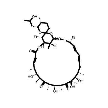 CC[C@@H]1/C=C/C=C/C[C@H](C)[C@@H](O)[C@@](C)(O)C(=O)[C@H](C)[C@@H](O)[C@H](C)C(=O)[C@@H](C)[C@H](O)[C@H](C)/C=C/C(=O)O[C@H]2[C@@H](C)[C@@H](CC1)OC1(CC[C@@H](C)[C@@H](CC(C)O)O1)[C@H]2CC